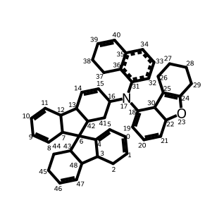 C1=CCC2C(=C1)C1(C3C=CC=CC3C3C=CC(N(C4=CC=CC5OC6=C(CCCC6)C45)c4cccc5c4CCC=C5)CC31)C1CCC=CC21